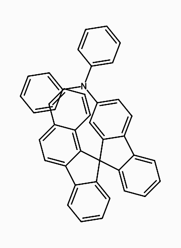 c1ccc(N(c2ccccc2)c2ccc3c(c2)C2(c4ccccc4-3)c3ccccc3-c3ccc4ccccc4c32)cc1